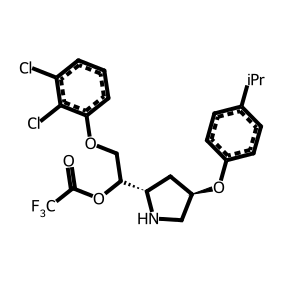 CC(C)c1ccc(O[C@H]2CN[C@H](C(COc3cccc(Cl)c3Cl)OC(=O)C(F)(F)F)C2)cc1